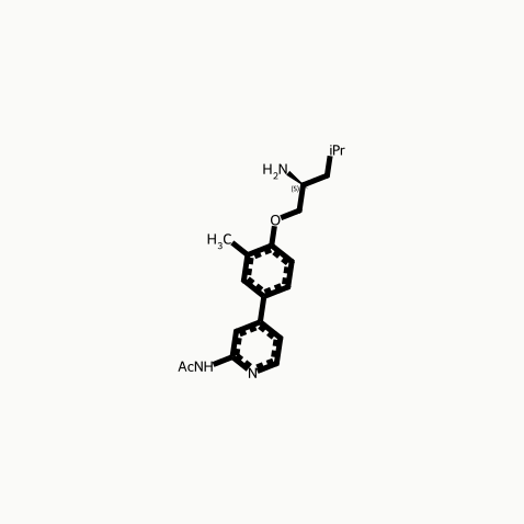 CC(=O)Nc1cc(-c2ccc(OC[C@@H](N)CC(C)C)c(C)c2)ccn1